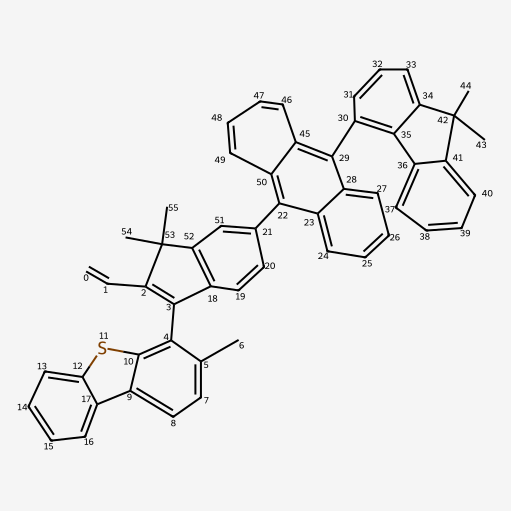 C=CC1=C(c2c(C)ccc3c2sc2ccccc23)c2ccc(-c3c4ccccc4c(-c4cccc5c4-c4ccccc4C5(C)C)c4ccccc34)cc2C1(C)C